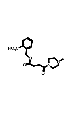 CN1CCN(C(=O)CCC(=O)OCc2ccccc2C(=O)O)CC1